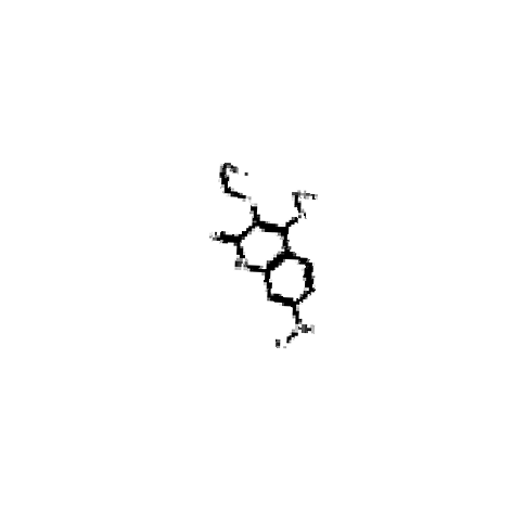 CCCCCCOc1c(OCC(C)CCC)c(=O)[nH]c2cc(NCC)ccc12